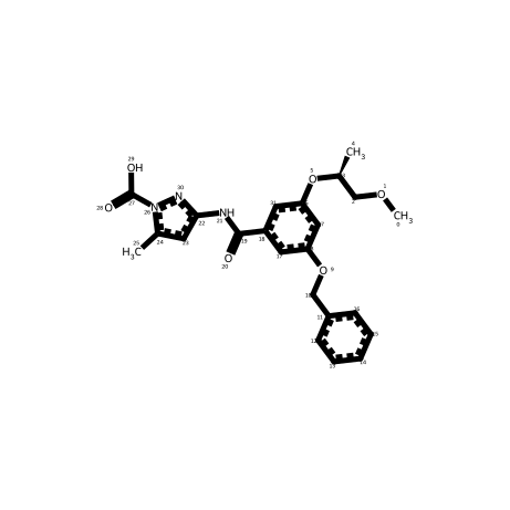 COC[C@H](C)Oc1cc(OCc2ccccc2)cc(C(=O)Nc2cc(C)n(C(=O)O)n2)c1